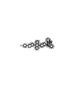 Cc1ccc(-c2ccc3cc(-c4c5ccccc5c(-c5ccc6cc(-c7nc8ccccc8c8nc9ccccc9n78)ccc6c5)c5ccccc45)ccc3c2)cc1